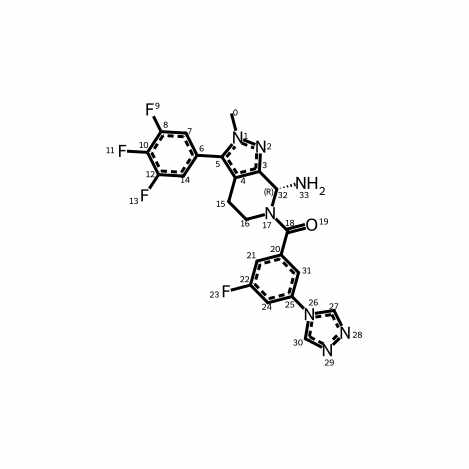 Cn1nc2c(c1-c1cc(F)c(F)c(F)c1)CCN(C(=O)c1cc(F)cc(-n3cnnc3)c1)[C@H]2N